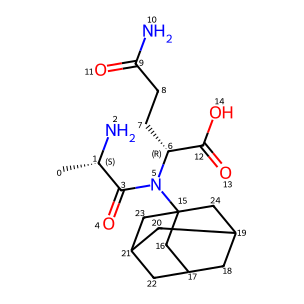 C[C@H](N)C(=O)N([C@H](CCC(N)=O)C(=O)O)C12CC3CC(CC(C3)C1)C2